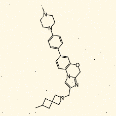 CC1CC2(C1)CN(Cc1cn3c(n1)COc1cc(-c4ccc(N5CCN(C)CC5)cc4)ccc1-3)C2